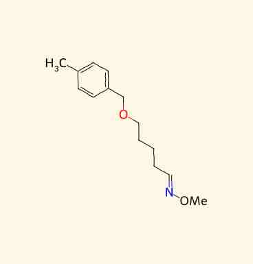 CON=CCCCCOCc1ccc(C)cc1